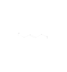 FC/C=C/CF